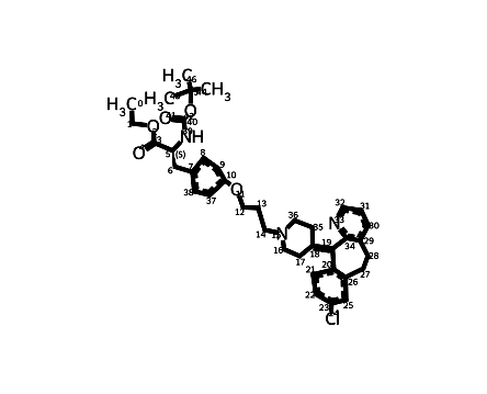 CCOC(=O)[C@H](Cc1ccc(OCCCN2CCC(=C3c4ccc(Cl)cc4CCc4cccnc43)CC2)cc1)NC(=O)OC(C)(C)C